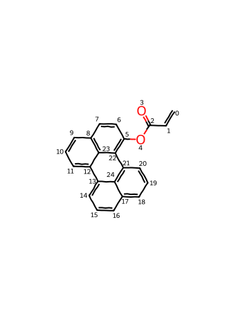 C=CC(=O)Oc1ccc2cccc3c4cccc5cccc(c1c23)c54